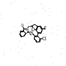 O=C1c2ccccc2C(=O)N1C[C@H]1Cc2cc(F)cc(-c3c(Cl)cccc3Cl)c2O1